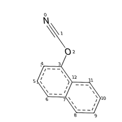 N#COc1[c][c]cc2ccccc12